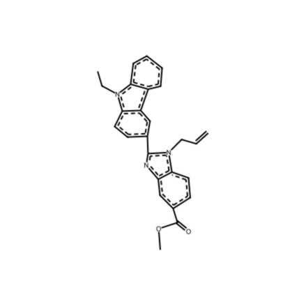 C=CCn1c(-c2ccc3c(c2)c2ccccc2n3CC)nc2cc(C(=O)OC)ccc21